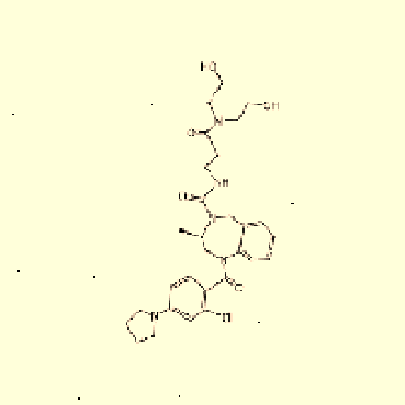 C[C@@H]1CN(C(=O)c2ccc(N3CCCC3)cc2Cl)c2ccccc2CN1C(=O)NCCC(=O)N(CCO)CCO